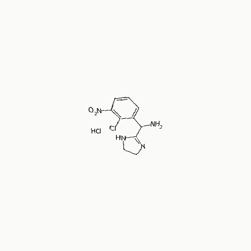 Cl.NC(C1=NCCN1)c1cccc([N+](=O)[O-])c1Cl